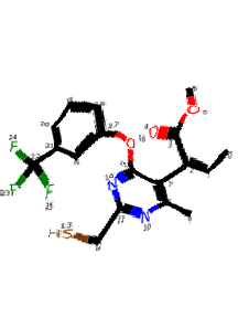 CC=C(C(=O)OC)c1c(C)nc(CS)nc1Oc1cccc(C(F)(F)F)c1